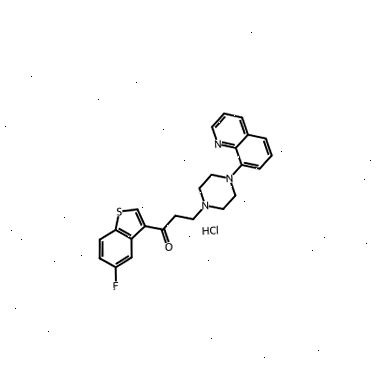 Cl.O=C(CCN1CCN(c2cccc3cccnc23)CC1)c1csc2ccc(F)cc12